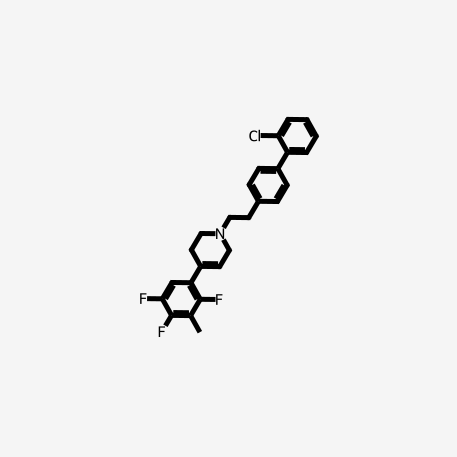 Cc1c(F)c(F)cc(C2=CCN(CCc3ccc(-c4ccccc4Cl)cc3)CC2)c1F